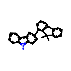 CC1(C)c2ccccc2-c2cccc(-c3ccc4[nH]c5ccccc5c4c3)c21